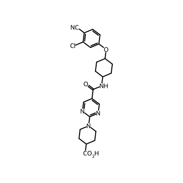 N#Cc1ccc(OC2CCC(NC(=O)c3cnc(N4CCC(C(=O)O)CC4)nc3)CC2)cc1Cl